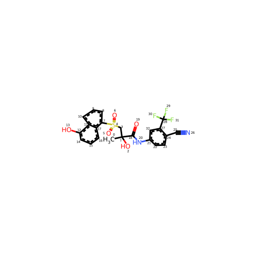 CC(O)(CS(=O)(=O)c1cccc2c(O)cccc12)C(=O)Nc1ccc(C#N)c(C(F)(F)F)c1